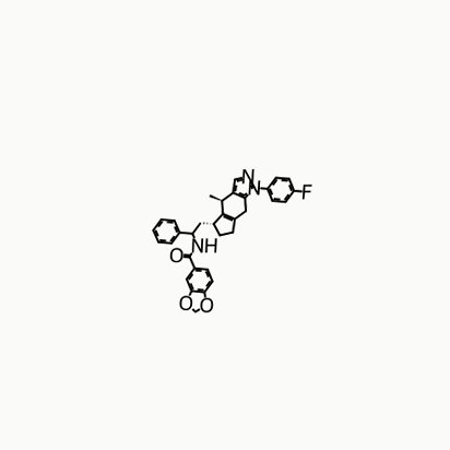 C[C@@H]1C2=C(CC[C@@H]2CC(NC(=O)c2ccc3c(c2)OCO3)c2ccccc2)Cc2c1cnn2-c1ccc(F)cc1